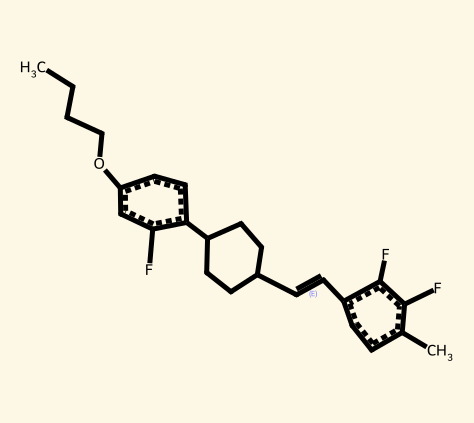 CCCCOc1ccc(C2CCC(/C=C/c3ccc(C)c(F)c3F)CC2)c(F)c1